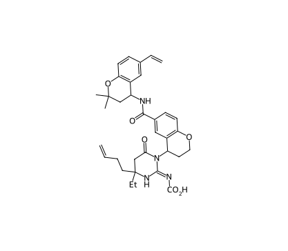 C=CCCC1(CC)CC(=O)N(C2CCOc3ccc(C(=O)NC4CC(C)(C)Oc5ccc(C=C)cc54)cc32)C(=NC(=O)O)N1